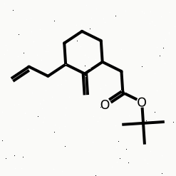 C=CCC1CCCC(CC(=O)OC(C)(C)C)C1=C